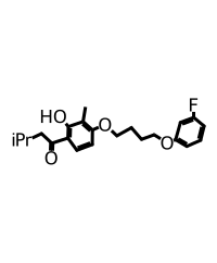 Cc1c(OCCCCOc2cccc(F)c2)ccc(C(=O)CC(C)C)c1O